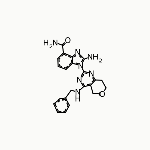 NC(=O)c1cccc2c1nc(N)n2-c1nc2c(c(NCc3ccccc3)n1)COCC2